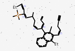 C#CC/C=C\c1c(C)c(C(/C=C\CC(C)/C=C(\C=C/CC)S(C)(C)C)=C/C=C)c2ccccc2c1CC